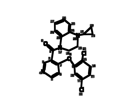 O=C(c1cnccc1Oc1cc(Cl)ccc1Cl)N1CCN(C2CC2)c2ccccc21